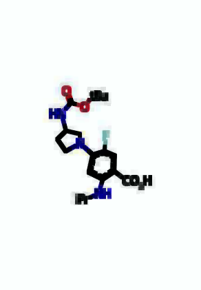 CC(C)Nc1cc(N2CCC(NC(=O)OC(C)(C)C)C2)c(F)cc1C(=O)O